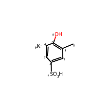 Cc1cc(S(=O)(=O)O)ccc1O.[K]